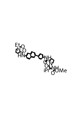 CCC(=O)N1CCC[C@H]1C(=O)Nc1ccc2cc(-c3ccc(NC(=O)[C@@H]4CCCN4C(=O)[C@@H](NC(=O)OC)C(C)C)cc3)ccc2c1